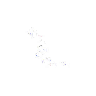 Cc1cc(Nc2ncnc3cnc(N4CC/C(=C\C5CN(C)C5)C4=O)cc23)c(F)cc1Oc1ccn2ncnc2c1